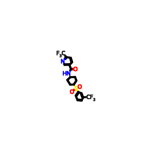 O=C(N[C@H]1CC[C@H](S(=O)(=O)c2cccc(C(F)(F)F)c2)CC1)c1ccc(C(F)(F)F)nc1